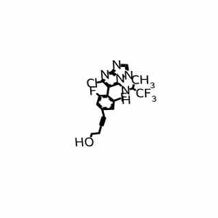 CC(Nc1c(-c2c(F)cc(C#CCCO)cc2F)c(Cl)nc2ncnn12)C(F)(F)F